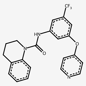 O=C(Nc1cc(Oc2ccncc2)cc(C(F)(F)F)c1)N1CCCc2ccccc21